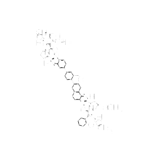 COC[C@H]1CC(c2nc3ccc4cc5c(cc4c3[nH]2)OCc2cc(-c3ccc4nc([C@@H]6CCCN6C(=O)[C@@H](NC(=O)OC)C(C)C)[nH]c4c3)ccc2-5)N(C(=O)[C@H](NC(=O)OC)c2ccccc2)C1